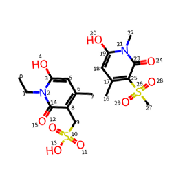 CCn1c(O)cc(C)c(CS(=O)(=O)O)c1=O.Cc1cc(O)n(C)c(=O)c1S(C)(=O)=O